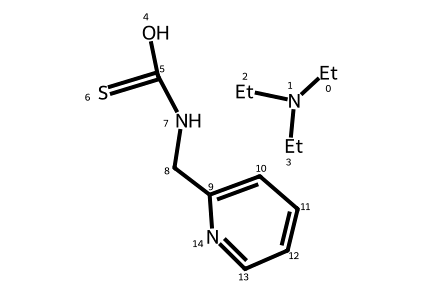 CCN(CC)CC.OC(=S)NCc1ccccn1